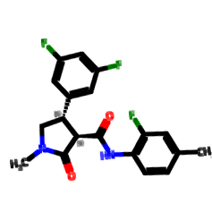 Cc1ccc(NC(=O)[C@H]2C(=O)N(C)C[C@@H]2c2cc(F)cc(F)c2)c(F)c1